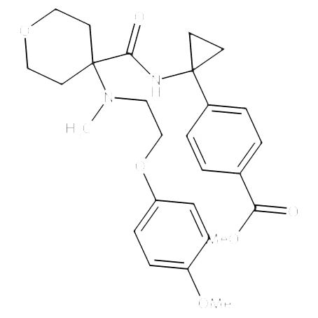 COC(=O)c1ccc(C2(NC(=O)C3(N(C)CCOc4ccc(OC)cc4)CCOCC3)CC2)cc1